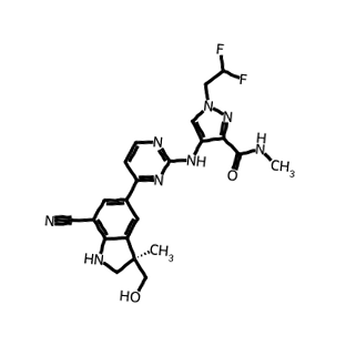 CNC(=O)c1nn(CC(F)F)cc1Nc1nccc(-c2cc(C#N)c3c(c2)[C@@](C)(CO)CN3)n1